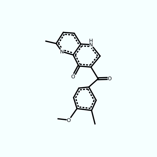 COc1ccc(C(=O)c2c[nH]c3ccc(C)nc3c2=O)cc1C